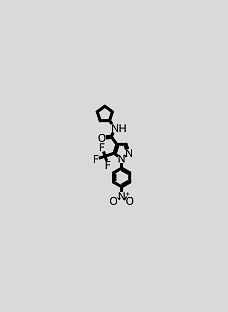 O=C(NC1CCCC1)c1cnn(-c2ccc([N+](=O)[O-])cc2)c1C(F)(F)F